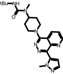 CN(C(=O)NC(C)(C)C)C1CCN(c2nnc(-c3ccnn3C)c3ncccc23)CC1